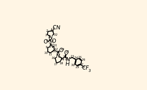 N#C[C@H]1CCN(S(=O)(=O)N2CCC[C@H](C(=O)N3CCC[C@@H]3C(=O)NCc3ccc(C(F)(F)F)cc3)C2)C1